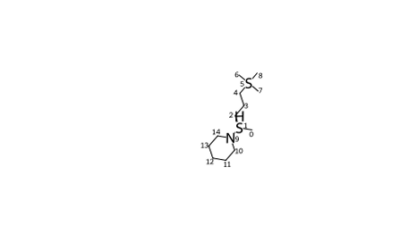 C[SH](CCCS(C)(C)C)N1CCCCC1